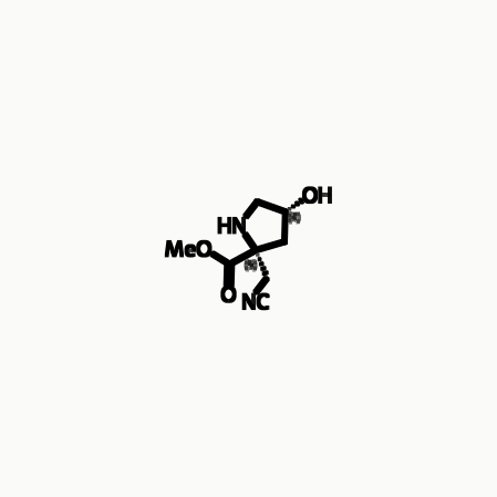 COC(=O)[C@]1(CC#N)C[C@@H](O)CN1